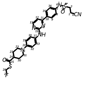 N#CCCS(=O)(=O)Nc1ccc(-c2ccnc(Nc3ccc(N4CCC(C(=O)SCF)CC4)cc3)n2)cc1